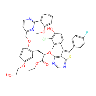 CCOC(=O)[C@@H](Cc1cc(OCCO)ccc1OCc1ccnc(-c2ccccc2OC)n1)Oc1ncnc2sc(-c3ccc(F)cc3)c(-c3ccc(O)c(Cl)c3C)c12